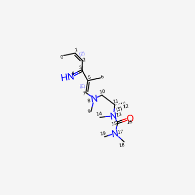 C/C=C\C(=N)/C(C)=C/N(C)C[C@H](C)N(C)C(=O)N(C)C